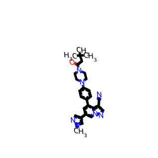 Cn1cc(-c2cc(-c3ccc(N4CCN(C(=O)CC(C)(C)C)CC4)cc3)c3c(C#N)cnn3c2)cn1